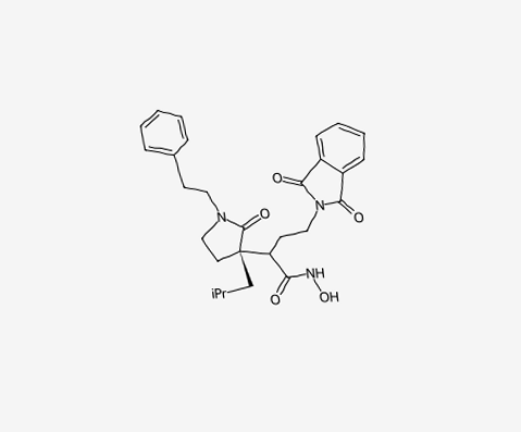 CC(C)C[C@@]1(C(CCN2C(=O)c3ccccc3C2=O)C(=O)NO)CCN(CCc2ccccc2)C1=O